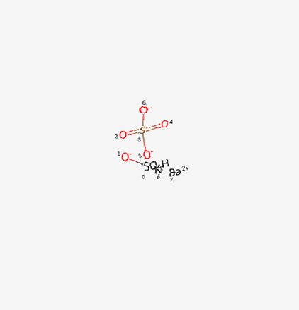 O=S(=O)([O-])O.O=S(=O)([O-])[O-].[Ba+2].[K+]